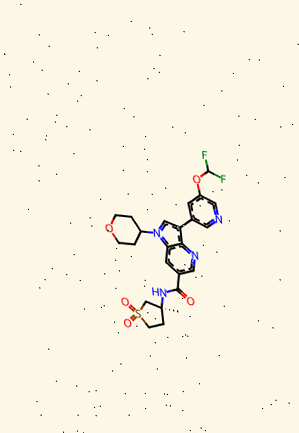 C[C@]1(NC(=O)c2cnc3c(-c4cncc(OC(F)F)c4)cn(C4CCOCC4)c3c2)CCS(=O)(=O)C1